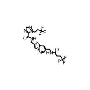 O=C(CCC(F)(F)F)NCc1cnn2cc(CNC(=O)c3ncnn3CCC(F)(F)F)nc2c1